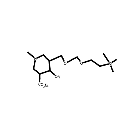 CCOC(=O)C1CN(C)CC(COCOCC[Si](C)(C)C)C1O